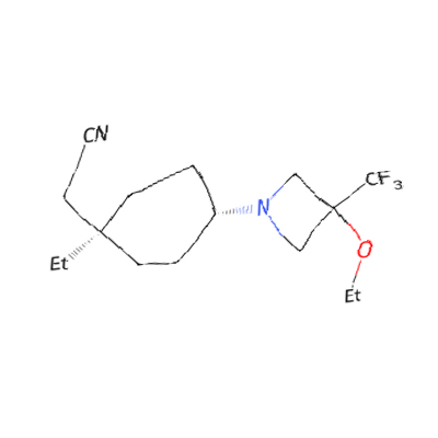 CCOC1(C(F)(F)F)CN([C@H]2CC[C@](CC)(CC#N)CC2)C1